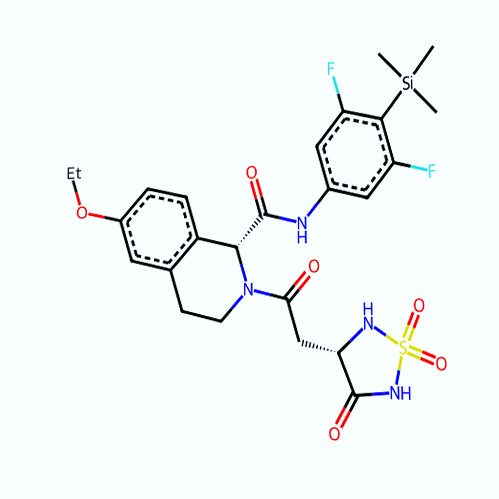 CCOc1ccc2c(c1)CCN(C(=O)C[C@@H]1NS(=O)(=O)NC1=O)[C@H]2C(=O)Nc1cc(F)c([Si](C)(C)C)c(F)c1